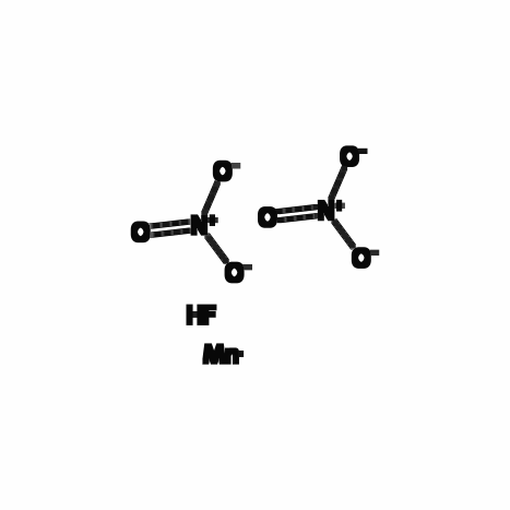 F.O=[N+]([O-])[O-].O=[N+]([O-])[O-].[Mn]